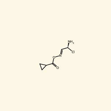 N[C@@H](Cl)C=NOC(=O)C1CC1